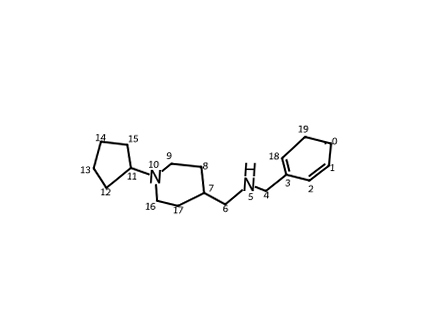 [CH]1C=CC(CNCC2CCN(C3CCCC3)CC2)=CC1